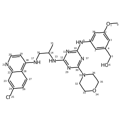 COc1cc(CO)cc(Nc2nc(NC(C)CNc3ccnc4cc(Cl)ccc34)nc(N3CCOCC3)n2)c1